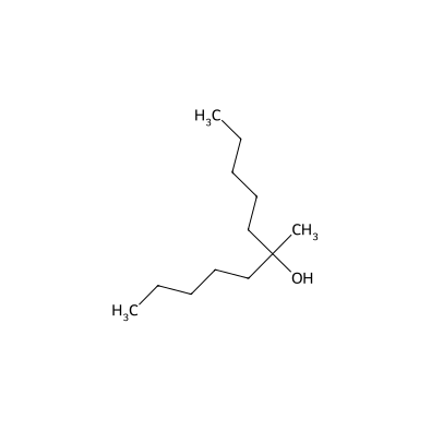 CCCCCC(C)(O)CCCCC